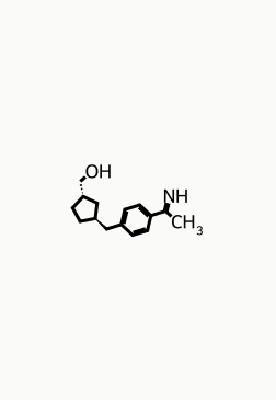 CC(=N)c1ccc(C[C@H]2CC[C@H](CO)C2)cc1